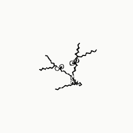 CCCCCCCCC(O)CN(CCN(CCCCCC(=O)OCC(CCCCCC)CCCCCCCC)CCCCCC(=O)OCC(CCCCCC)CCCCCCCC)C1CCC1